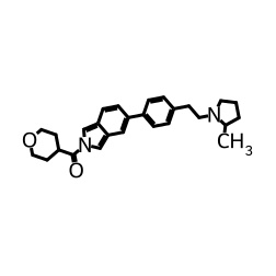 CC1CCCN1CCc1ccc(-c2ccc3cn(C(=O)C4CCOCC4)cc3c2)cc1